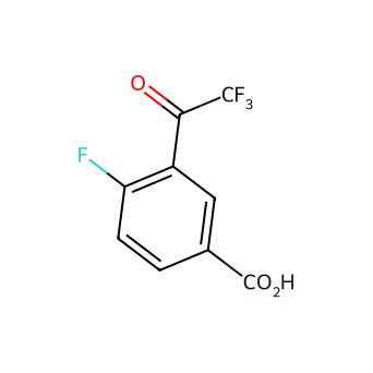 O=C(O)c1ccc(F)c(C(=O)C(F)(F)F)c1